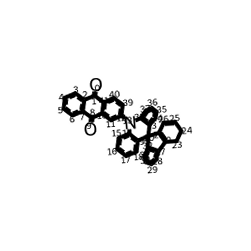 O=C1c2ccccc2C(=O)c2cc(N3c4ccccc4C4(C5=C(CCC=C5)c5ccccc54)c4ccccc43)ccc21